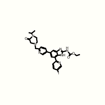 CCOC(=O)Nc1nc2cc(-c3ccc(CN4CCN(C(C)C)C(=O)C4)nc3)cc(-c3ccc(I)cn3)c2[nH]1